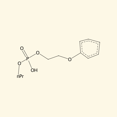 CCCOP(=O)(O)OCCOc1ccccc1